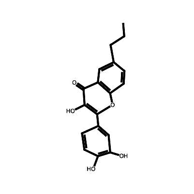 CCCc1ccc2oc(-c3ccc(O)c(O)c3)c(O)c(=O)c2c1